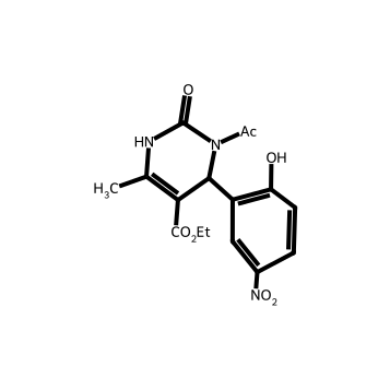 CCOC(=O)C1=C(C)NC(=O)N(C(C)=O)C1c1cc([N+](=O)[O-])ccc1O